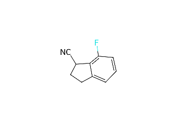 N#CC1CCc2cccc(F)c21